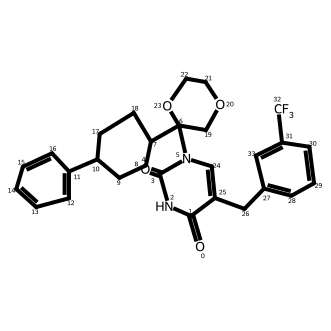 O=c1[nH]c(=O)n(C2(C3CCC(c4ccccc4)CC3)COCCO2)cc1Cc1cccc(C(F)(F)F)c1